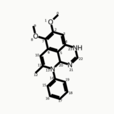 COc1cc2c3c(c1OC)C=C(C)N(c1ccccc1)C3N=CN2